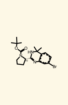 CC(C)(C)OC(=O)N1CCC[C@H]1C1=Nc2cc(Br)ccc2C(C)(C)N1